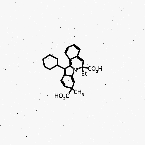 CCC1(C(=O)O)C=c2ccccc2=c2c(C3CCCCC3)c3c(n21)=CC(C)(C(=O)O)C=C3